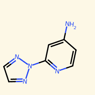 Nc1ccnc(-n2nccn2)c1